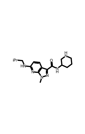 CC(C)CNc1ccc2c(C(=O)NC3CCCNC3)nn(C)c2n1